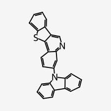 c1ccc2c(c1)sc1c3ccc(-n4c5ccccc5c5ccccc54)cc3ncc21